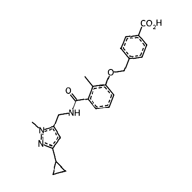 Cc1c(OCc2ccc(C(=O)O)cc2)cccc1C(=O)NCc1cc(C2CC2)nn1C